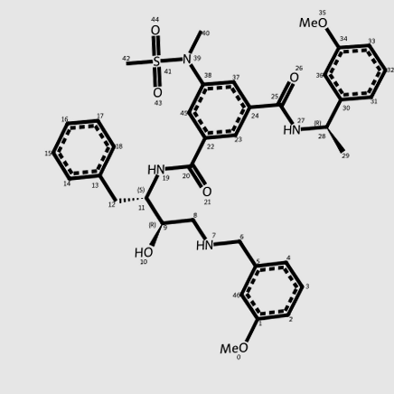 COc1cccc(CNC[C@@H](O)[C@H](Cc2ccccc2)NC(=O)c2cc(C(=O)N[C@H](C)c3cccc(OC)c3)cc(N(C)S(C)(=O)=O)c2)c1